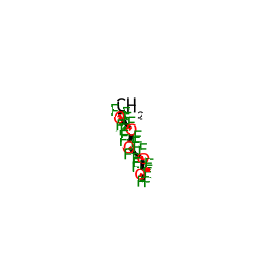 [CH2]C(F)(F)OC(F)(F)C(F)(F)OC(F)(F)C(F)(F)OC(F)(F)C(F)(F)OC(F)(F)C(F)(F)OC(F)(F)F